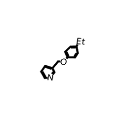 CCc1ccc(OCc2cccnc2)cc1